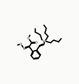 CCC[CH2][Sn](/[CH]=C/c1ccccc1/C(=N/OC)C(=O)OC)([CH2]CCC)[CH2]CCC